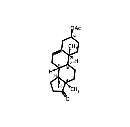 CC(=O)O[C@H]1CC[C@@]2(C)C(=CC[C@H]3[C@H]4CCC(=O)[C@@]4(C)CC[C@@H]32)C1